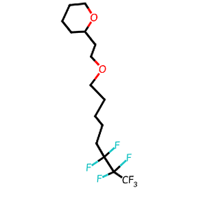 FC(F)(F)C(F)(F)C(F)(F)CCCCCOCCC1CCCCO1